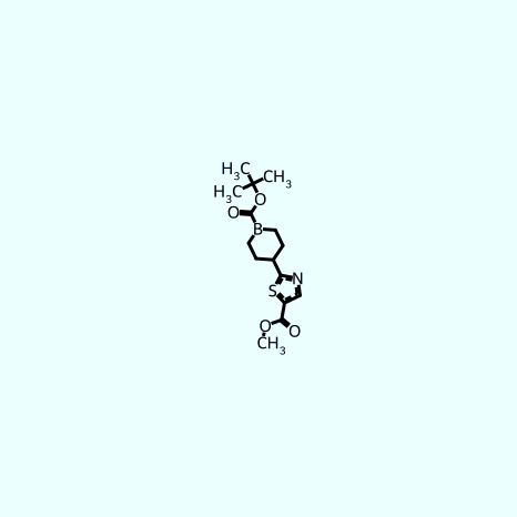 COC(=O)c1cnc(C2CCB(C(=O)OC(C)(C)C)CC2)s1